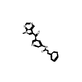 Cn1cc(C(=O)c2cncc(NC(=O)CCc3ccccc3)c2)c2cncnc21